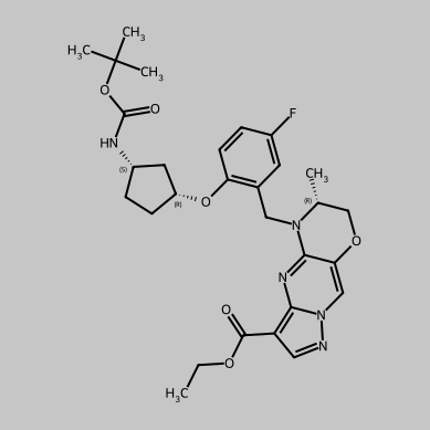 CCOC(=O)c1cnn2cc3c(nc12)N(Cc1cc(F)ccc1O[C@@H]1CC[C@H](NC(=O)OC(C)(C)C)C1)[C@H](C)CO3